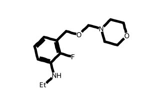 CCNc1cccc(COCN2CCOCC2)c1F